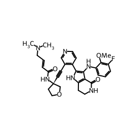 COc1c(F)cccc1Nc1c(-c2ccncc2C#C[C@]2(NC(=O)/C=C/CN(C)C)CCOC2)[nH]c2c1C(=O)NCC2